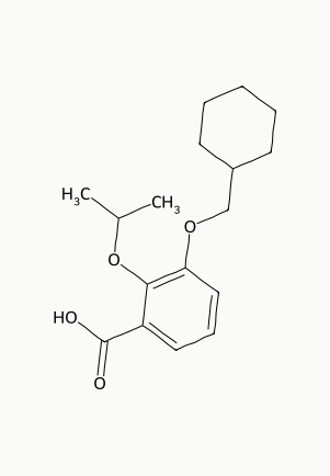 CC(C)Oc1c(OCC2CCCCC2)cccc1C(=O)O